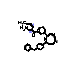 C=C/C=C\C(=C/N)C(=O)N1CCC[C@@H](n2cncnccc(C3=CC=C(Cc4ccccc4)CC3)n2)C1